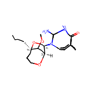 CCC[C@@]12CCO[C@@H](C1OC)[C@H](N1C=C(C)C(=O)NC1N)O2